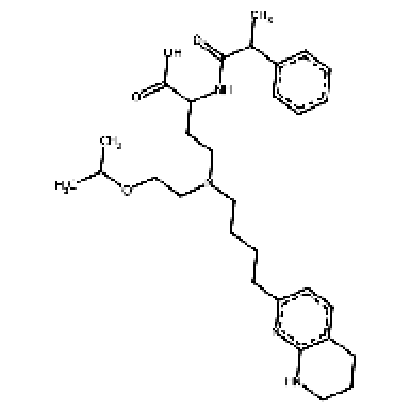 CC(C)OCCN(CCCCc1ccc2c(n1)NCCC2)CCC(NC(=O)C(C)c1ccccc1)C(=O)O